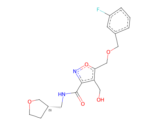 O=C(NC[C@@H]1CCOC1)c1noc(COCc2cccc(F)c2)c1CO